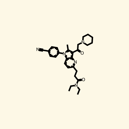 CCN(CC)C(=O)CCc1ccc2c(n1)c(C(=O)CN1CCCCC1)c(C)n2-c1ccc(C#N)cc1